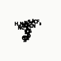 N#Cc1c(N)nc(SCCC(F)(F)F)c(C#N)c1-c1ccc(OC2CCOC2)cc1